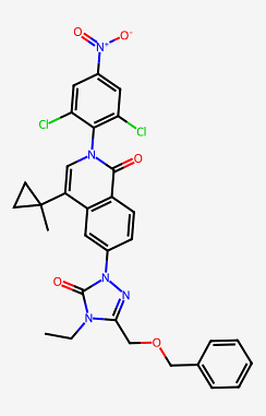 CCn1c(COCc2ccccc2)nn(-c2ccc3c(=O)n(-c4c(Cl)cc([N+](=O)[O-])cc4Cl)cc(C4(C)CC4)c3c2)c1=O